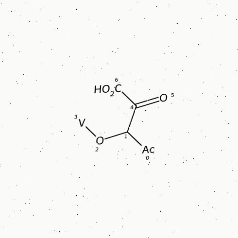 CC(=O)C([O][V])C(=O)C(=O)O